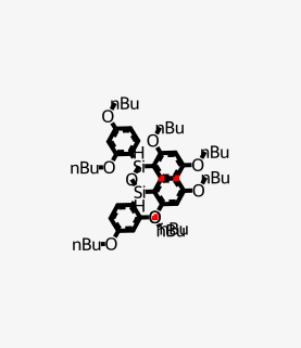 CCCCOc1ccc([SiH](O[SiH](c2ccc(OCCCC)cc2OCCCC)c2ccc(OCCCC)cc2OCCCC)c2ccc(OCCCC)cc2OCCCC)c(OCCCC)c1